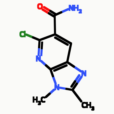 Cc1nc2cc(C(N)=O)c(Cl)nc2n1C